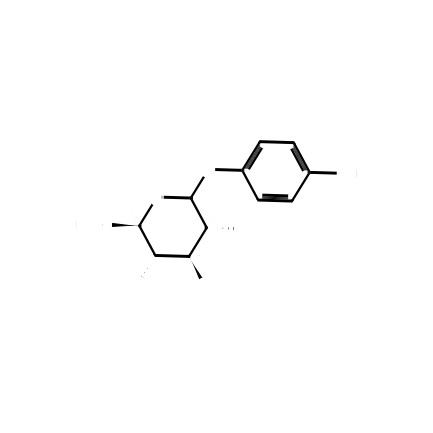 O=C(O)[C@H]1OC(Oc2ccc(O)cc2)[C@H](O)[C@@H](O)[C@@H]1O